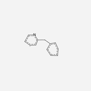 [c]1ccnc(Cc2ccccc2)c1